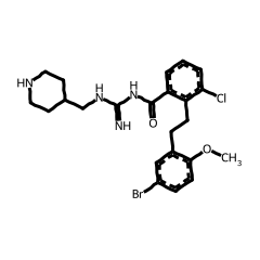 COc1ccc(Br)cc1CCc1c(Cl)cccc1C(=O)NC(=N)NCC1CCNCC1